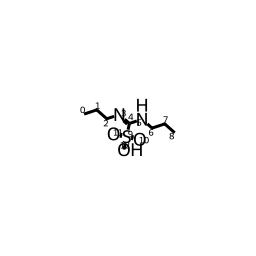 CCCN=C(NCCC)S(=O)(=O)O